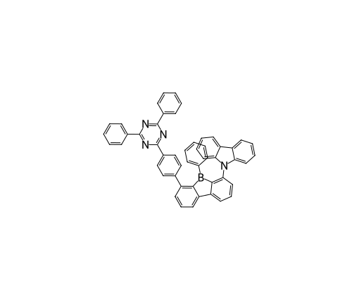 c1ccc(B2c3c(-c4ccc(-c5nc(-c6ccccc6)nc(-c6ccccc6)n5)cc4)cccc3-c3cccc(-n4c5ccccc5c5ccccc54)c32)cc1